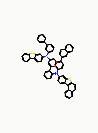 c1ccc(-c2cccc(N(c3cccc(-c4ccccc4N(c4ccc(-c5ccc6ccccc6c5)cc4)c4ccc5c(c4)sc4ccc6ccccc6c45)c3)c3ccc4c(c3)sc3ccccc34)c2)cc1